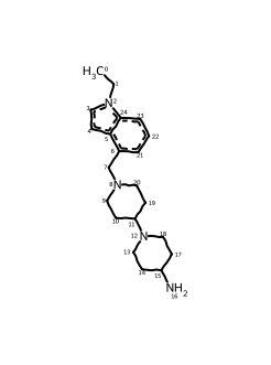 CCn1ccc2c(CN3CCC(N4CCC(N)CC4)CC3)cccc21